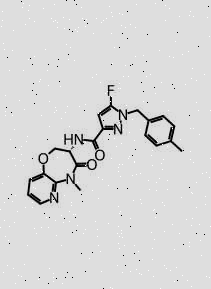 Cc1ccc(Cn2nc(C(=O)N[C@H]3COc4cccnc4N(C)C3=O)cc2F)cc1